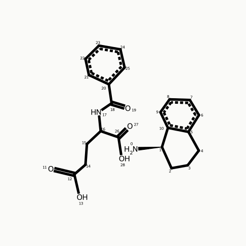 N[C@@H]1CCCc2ccccc21.O=C(O)CCC(NC(=O)c1ccccc1)C(=O)O